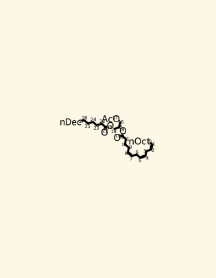 CCCCCCCC/C=C\C/C=C\C/C=C\CCCC(=O)OC(COC(C)=O)COC(=O)CCCCCCCCCCCCCCC